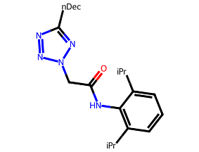 CCCCCCCCCCc1nnn(CC(=O)Nc2c(C(C)C)cccc2C(C)C)n1